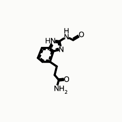 NC(=O)CCc1cccc2[nH]c(NC=O)nc12